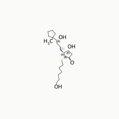 CC1([C@H](O)C/C=C/[C@H]2[C@H](O)CC(=O)[C@@H]2CCCCCCCO)CCCC1